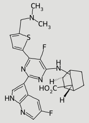 CN(C)Cc1ccc(-c2nc(-c3c[nH]c4ncc(F)cc34)nc(N[C@H]3C4CCC(CC4)[C@@H]3C(=O)O)c2F)s1